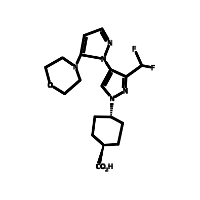 O=C(O)[C@H]1CC[C@H](n2cc(-n3nccc3N3CCOCC3)c(C(F)F)n2)CC1